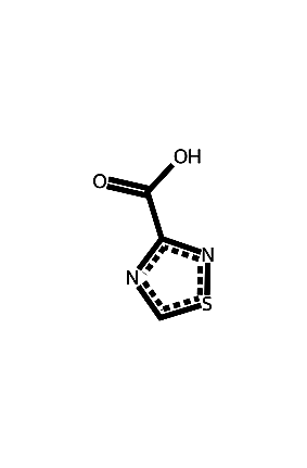 O=C(O)c1ncsn1